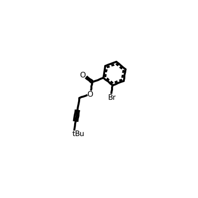 CC(C)(C)C#CCOC(=O)c1ccccc1Br